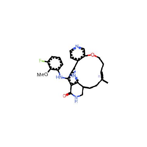 COc1c(F)cccc1Nc1c2[nH]c3c1C(=O)NCC3CC/C(C)=C/CCOc1cnccc1-2